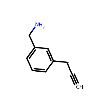 C#C[CH]c1cccc(CN)c1